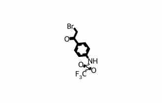 O=C(CBr)c1ccc(NS(=O)(=O)C(F)(F)F)cc1